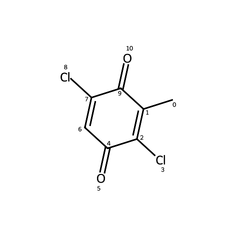 CC1=C(Cl)C(=O)C=C(Cl)C1=O